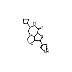 O=C1N[C@H](C2CCC2)CN2CCOC3=C(c4cn[nH]c4)SC1C32